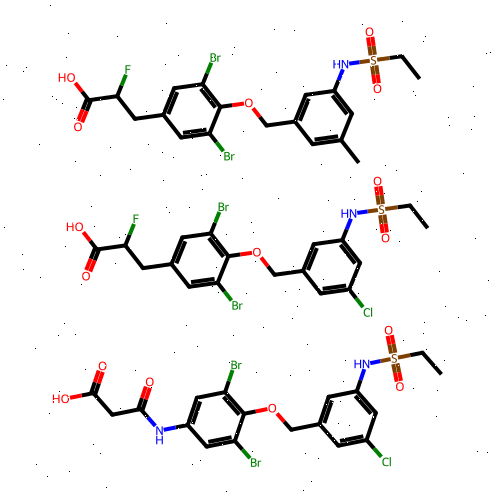 CCS(=O)(=O)Nc1cc(C)cc(COc2c(Br)cc(CC(F)C(=O)O)cc2Br)c1.CCS(=O)(=O)Nc1cc(Cl)cc(COc2c(Br)cc(CC(F)C(=O)O)cc2Br)c1.CCS(=O)(=O)Nc1cc(Cl)cc(COc2c(Br)cc(NC(=O)CC(=O)O)cc2Br)c1